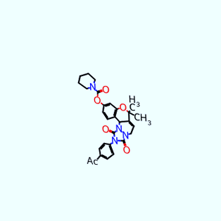 CC(=O)c1ccc(-n2c(=O)n3n(c2=O)C2C(=CC3)C(C)(C)Oc3cc(OC(=O)N4CCCCC4)ccc32)cc1